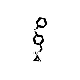 C1CO1.CCc1ccc(Oc2ccccc2)cc1